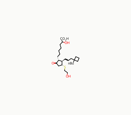 CCCCC1(CC=C[C@H]2[C@H](SCCO)CC(=O)[C@@H]2CCCCCC(O)C(=O)O)CCC1